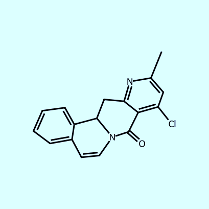 Cc1cc(Cl)c2c(n1)CC1c3ccccc3C=CN1C2=O